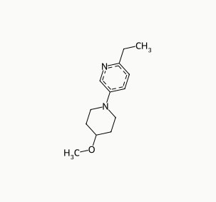 CCc1ccc(N2CCC(OC)CC2)cn1